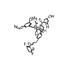 COc1cc(CN(C(=O)C2=C(c3ccc(CCCOc4c(F)ccc(F)c4F)cc3)C[C@H]3CN(C(=O)C4C[C@@H](O)CN4)C[C@H]2N3)C2CC2)cc(OC)c1